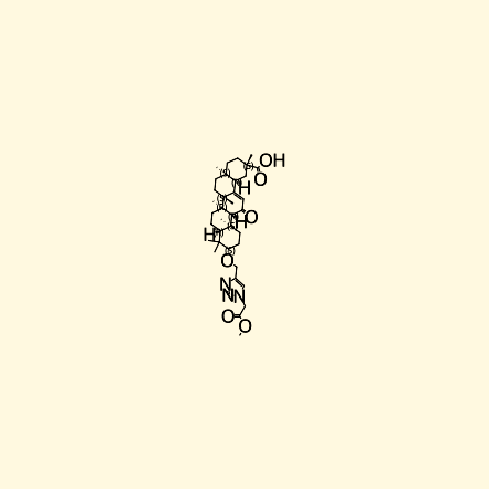 COC(=O)Cn1cc(CO[C@H]2CC[C@]3(C)[C@H]4C(=O)C=C5[C@@H]6C[C@@](C)(C(=O)O)CC[C@]6(C)CC[C@@]5(C)[C@]4(C)CC[C@H]3C2(C)C)nn1